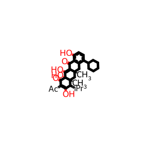 CC(=O)C1=C(O)C(C(C)C)[C@@]2(C)C[C@@]3(C)Cc4c(C5CCCCC5)ccc(O)c4C(=O)C3=C(O)[C@@]2(O)C1=O